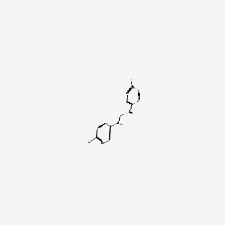 NC(CC(=O)c1ccc(Cl)cc1)c1ccc(Cl)cc1